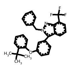 CC(C)(C)c1ccccc1Oc1cccc(-c2c3cccc(C(F)(F)F)c3nn2Cc2ccccc2)c1